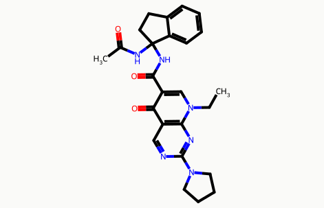 CCn1cc(C(=O)NC2(NC(C)=O)CCc3ccccc32)c(=O)c2cnc(N3CCCC3)nc21